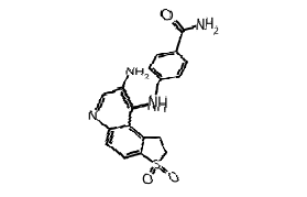 NC(=O)c1ccc(Nc2c(N)cnc3ccc4c(c23)CCS4(=O)=O)cc1